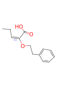 CC/C=C(/OCCc1ccccc1)C(=O)O